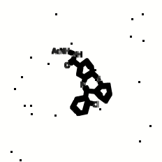 CC(=O)NNC(=O)c1ccc2c(c1)N=C(c1ccccc1Cl)c1ccccc1S2